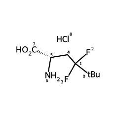 CC(C)(C)C(F)(F)C[C@H](N)C(=O)O.Cl